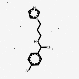 CC(NCCCn1ccnc1)c1ccc(Br)cc1